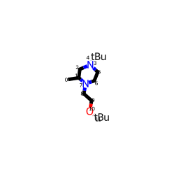 CC1CN(C(C)(C)C)CCN1CCOC(C)(C)C